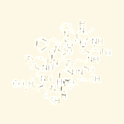 CC[C@H](C)[C@H](NC(=O)[C@H](C)NC(=O)[C@@H]1CCCN1C(=O)[C@H](Cc1ccccc1)NC(=O)[C@H](Cc1ccc(O)cc1)NC(=O)[C@H](CC(C)C)NC(=O)[C@H](CC(=O)O)NC(=O)[C@@H](N)CS)C(=O)N[C@@H](CC(C)C)C(=O)N[C@@H](CS)C(=O)O